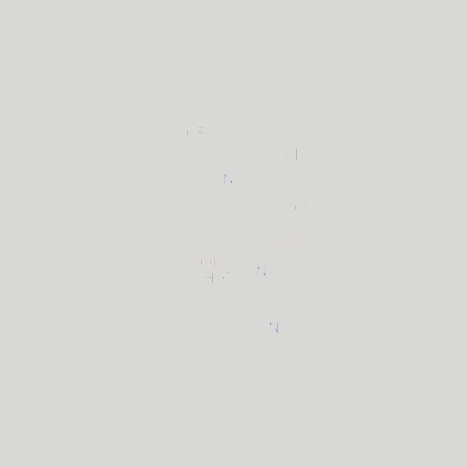 CN(C(=O)c1c(C(Cl)Cl)nc2c(C(F)(F)F)cccc2c1O)c1nccs1